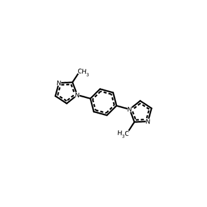 Cc1nccn1-c1ccc(-n2ccnc2C)cc1